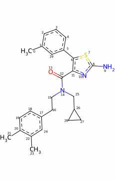 Cc1cccc(-c2sc(N)nc2C(=O)N(CCc2ccc(C)c(C)c2)CC2CC2)c1